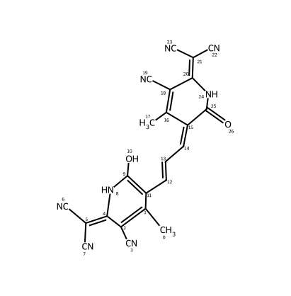 CC1=C(C#N)C(=C(C#N)C#N)NC(O)=C1/C=C/C=c1\c(C)c(C#N)c(=C(C#N)C#N)[nH]c1=O